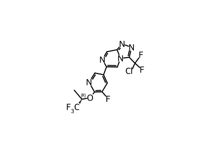 C[C@@H](Oc1ncc(-c2cn3c(C(F)(F)Cl)nnc3cn2)cc1F)C(F)(F)F